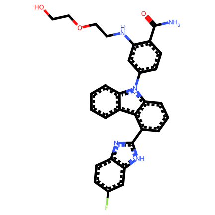 NC(=O)c1ccc(-n2c3ccccc3c3c(-c4nc5ccc(F)cc5[nH]4)cccc32)cc1NCCOCCO